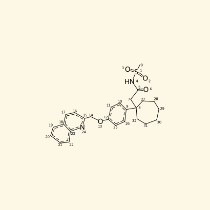 CS(=O)(=O)NC(=O)CC1(c2ccc(OCc3ccc4ccccc4n3)cc2)CCCCCC1